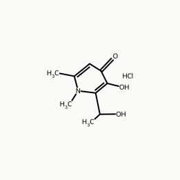 Cc1cc(=O)c(O)c(C(C)O)n1C.Cl